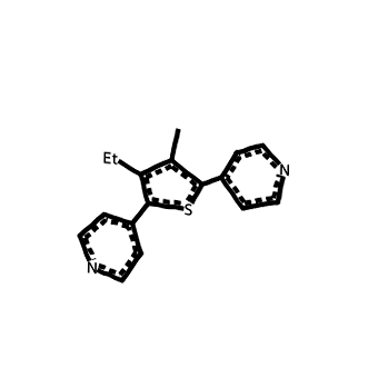 CCc1c(-c2ccncc2)sc(-c2ccncc2)c1C